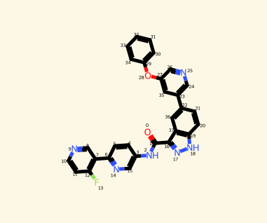 O=C(Nc1ccc(-c2cnccc2F)nc1)c1n[nH]c2ccc(-c3cncc(Oc4ccccc4)c3)cc12